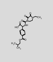 CCN1CCN(C(=O)NC(C(=O)O)c2ccc(C(=O)OCC(C)C)cc2)C(=O)C1=O